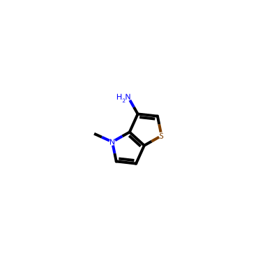 Cn1ccc2scc(N)c21